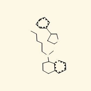 NCCCCN(C[C@@H]1CC(c2ccccc2)CN1)C1CCCc2cccnc21